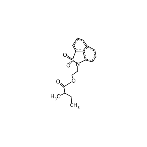 CCC(C)C(=O)OCCN1c2cccc3cccc(c23)S1(=O)=O